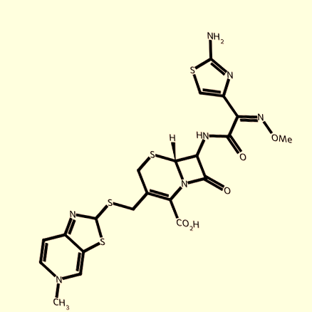 CO/N=C(\C(=O)NC1C(=O)N2C(C(=O)O)=C(CSC3N=C4C=CN(C)C=C4S3)CS[C@H]12)c1csc(N)n1